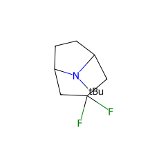 CC(C)(C)N1C2CCC1CC(F)(F)C2